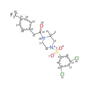 CC1(C)CN(S(=O)(=O)c2cc(Cl)cc(Cl)c2)CCN1C(=O)Cc1ccc(C(F)(F)F)cc1